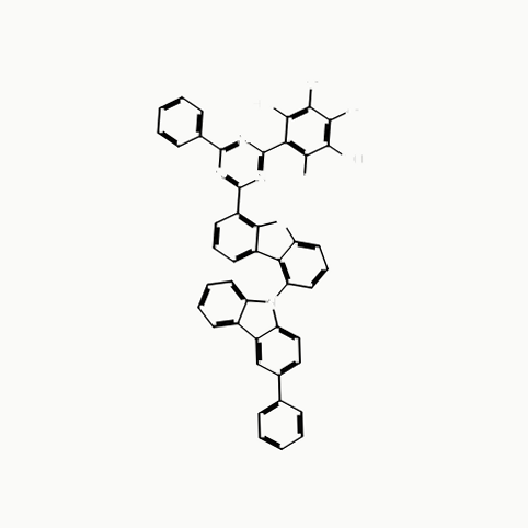 Oc1c(O)c(O)c(-c2nc(-c3ccccc3)nc(-c3cccc4c3sc3cccc(-n5c6ccccc6c6cc(-c7ccccc7)ccc65)c34)n2)c(O)c1O